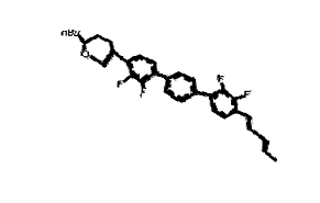 C/C=C/CCc1ccc(-c2ccc(-c3ccc(C4CCC(CCCC)OC4)c(F)c3F)cc2)c(F)c1F